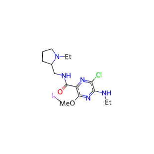 CCNc1nc(OC)c(C(=O)NCC2CCCN2CC)nc1Cl.CI